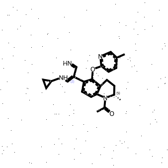 CC(=O)N1c2ccc(/C(C=N)=C/NC3CC3)c(Oc3ccc(C)cn3)c2CC[C@@H]1C